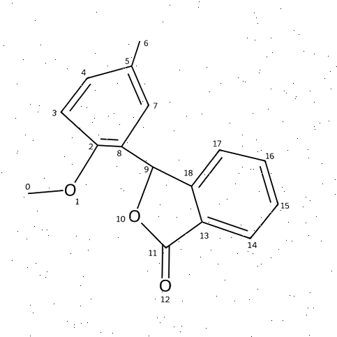 COc1ccc(C)cc1C1OC(=O)c2ccccc21